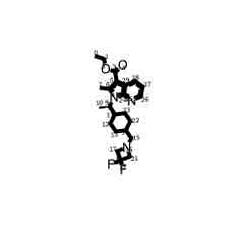 CCOC(=O)c1c(C)n([C@H](C)C2CCC(CN3CC(F)(F)C3)CC2)c2ncccc12